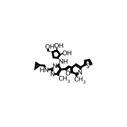 Cc1nc(NCC2CC2)nc(N[C@@H]2C[C@H](CO)[C@@H](O)[C@H]2O)c1-c1cc2cc(-c3cccs3)nc(C)c2o1